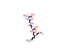 C=CC[C@H](/C=C/CC)CC(=O)N[C@H](CCC(=O)NCC(=O)N[C@H](C)C(=O)O)C(=O)O